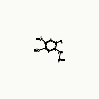 CCCCCNc1cc(OC)c(C(=O)O)cc1Cl